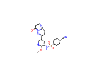 COc1ncc(-c2ccc3nccc(=O)n3n2)cc1NS(=O)(=O)c1ccc(C#N)cc1